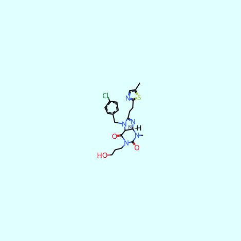 Cc1cnc(CCC2=N[C@@H]3C(C(=O)N(CCCO)C(=O)N3C)N2Cc2ccc(Cl)cc2)s1